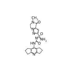 CN1CCn2nc(S(N)(=O)=NC(=O)Nc3c4c(nc5c3CCC5)CCC4)cc2C1=O